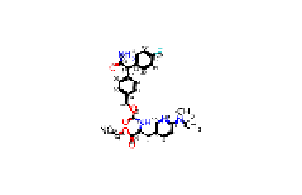 CN(C)c1ccc(C[C@H](NC(=O)OCc2ccc(C(C(N)=O)c3ccc(F)cc3)cc2)C(=O)OCC#N)cn1